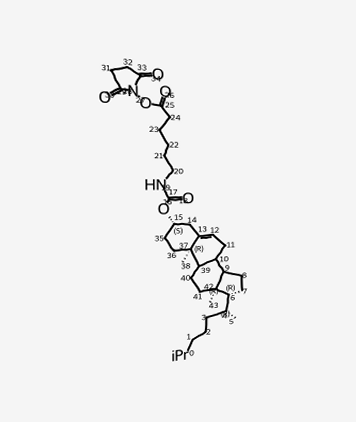 CC(C)CCC[C@@H](C)[C@H]1CCC2C3CC=C4C[C@@H](OC(=O)NCCCCCC(=O)ON5C(=O)CCC5=O)CC[C@]4(C)C3CC[C@@]21C